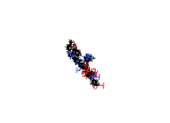 COc1cc(CN2CCN(C3CC4(CCN(c5ccc(C(=O)NS(=O)(=O)c6ccc(NC[C@H]7CC[C@](C)(O)CC7)c([N+](=O)[O-])c6)c(Oc6cnc7[nH]cc(F)c7c6)c5)CC4)C3)C(c3ccccc3C(C)C)C2)ccc1C1CC1